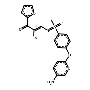 CS(=O)(=N/C=C(\C#N)C(=O)c1ccco1)c1ccc(Oc2ccc([N+](=O)[O-])cn2)cc1